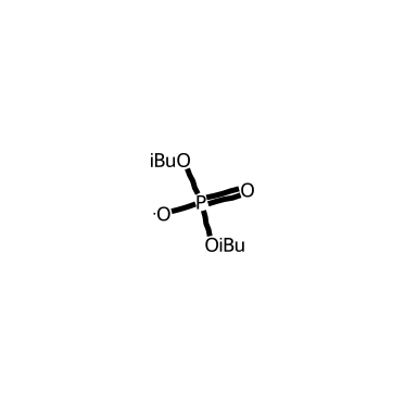 CC(C)COP([O])(=O)OCC(C)C